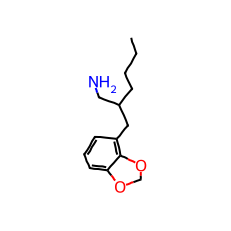 CCCCC(CN)Cc1cccc2c1OCO2